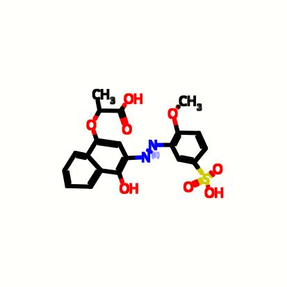 COc1ccc(S(=O)(=O)O)cc1/N=N/c1cc(OC(C)C(=O)O)c2ccccc2c1O